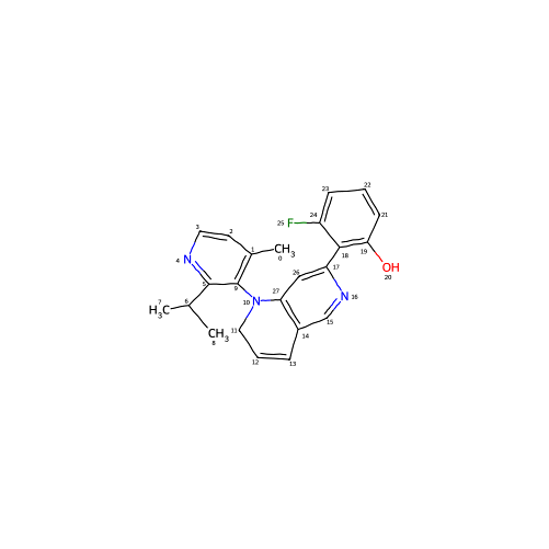 Cc1ccnc(C(C)C)c1N1CC=Cc2cnc(-c3c(O)cccc3F)cc21